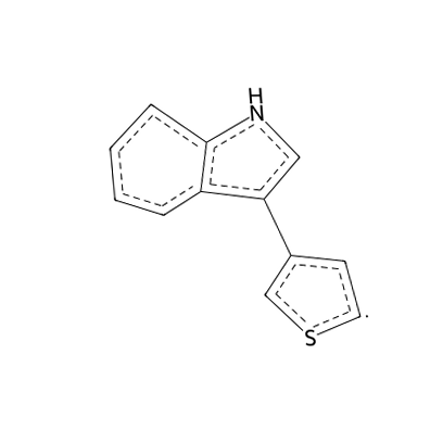 [c]1cc(-c2c[nH]c3ccccc23)cs1